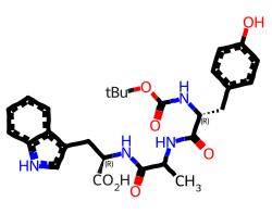 CC(NC(=O)[C@@H](Cc1ccc(O)cc1)NC(=O)OC(C)(C)C)C(=O)N[C@H](Cc1c[nH]c2ccccc12)C(=O)O